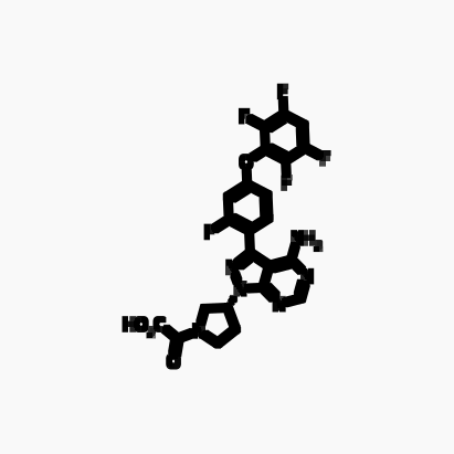 Nc1ncnc2c1c(-c1ccc(Oc3c(F)c(F)cc(F)c3F)cc1F)nn2[C@@H]1CCN(C(=O)C(=O)O)C1